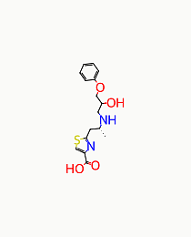 C[C@H](Cc1nc(C(=O)O)cs1)NC[C@H](O)COc1ccccc1